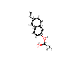 C=Cc1ccc2cc(OC(=O)C(F)(F)F)ccc2c1